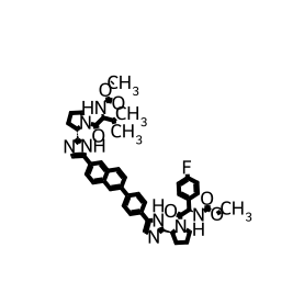 COC(=O)N[C@H](C(=O)N1CCC[C@H]1c1ncc(-c2ccc(-c3ccc4cc(-c5cnc([C@@H]6CCCN6C(=O)[C@@H](NC(=O)OC)C(C)C)[nH]5)ccc4c3)cc2)[nH]1)c1ccc(F)cc1